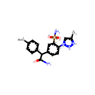 COc1ccc(C(C(N)=O)c2ccc(-n3cc(C(F)(F)F)nn3)c(S(N)(=O)=O)c2)cc1